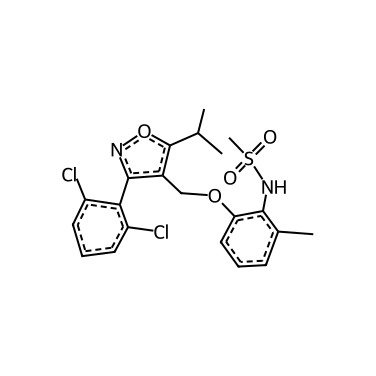 Cc1cccc(OCc2c(-c3c(Cl)cccc3Cl)noc2C(C)C)c1NS(C)(=O)=O